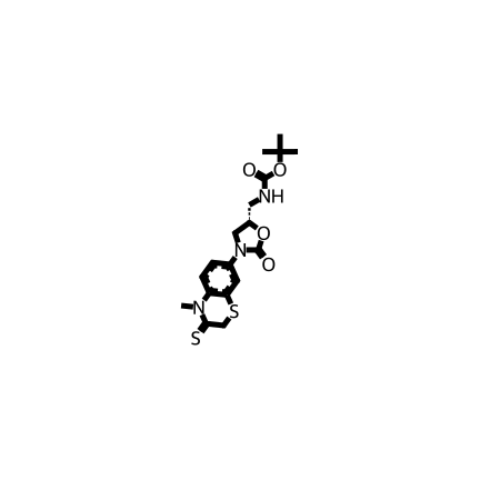 CN1C(=S)CSc2cc(N3C[C@H](CNC(=O)OC(C)(C)C)OC3=O)ccc21